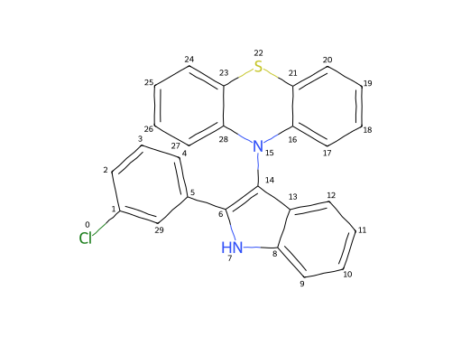 Clc1cccc(-c2[nH]c3ccccc3c2N2c3ccccc3Sc3ccccc32)c1